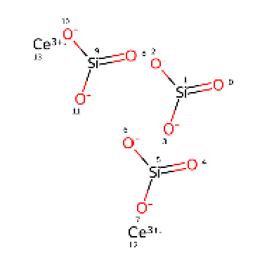 O=[Si]([O-])[O-].O=[Si]([O-])[O-].O=[Si]([O-])[O-].[Ce+3].[Ce+3]